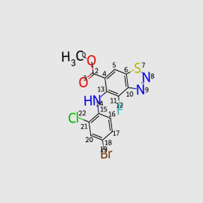 COC(=O)c1cc2snnc2c(F)c1Nc1ccc(Br)cc1Cl